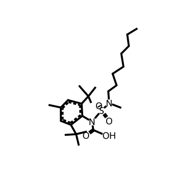 CCCCCCCCN(C)S(=O)(=O)N(C(=O)O)c1c(C(C)(C)C)cc(C)cc1C(C)(C)C